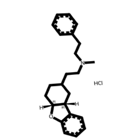 CN(CCc1ccccc1)CCC1CC[C@H]2Oc3ccccc3[C@H]2C1.Cl